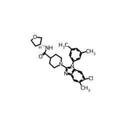 Cc1cc(C)cc(-n2c(N3CCC(C(=O)N[C@@H]4CCOC4)CC3)nc3cc(C)c(Cl)cc32)c1